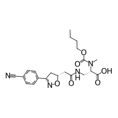 CCCCOC(=O)N(C)[C@@H](CNC(=O)C[C@H]1CC(c2ccc(C#N)cc2)=NO1)C(=O)O